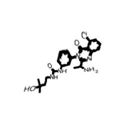 CC(N)c1nc2cccc(Cl)c2c(=O)n1-c1cccc(NC(=O)NCCC(C)(C)O)c1